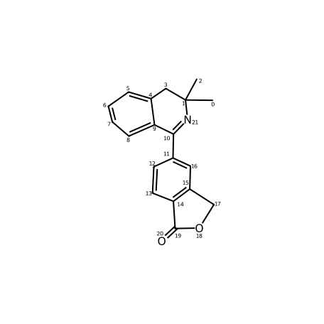 CC1(C)Cc2ccccc2C(c2ccc3c(c2)COC3=O)=N1